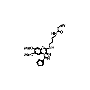 COc1cc2nc(NCCCCNC(=O)CC(C)C)c3nnc(-c4ccccc4)n3c2cc1OC